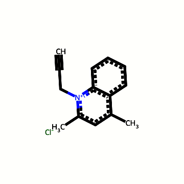 C#CC[n+]1c(C)cc(C)c2ccccc21.[Cl-]